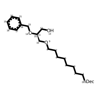 CCCCCCCCCCCCCCCCCCOC[C@H](CO)OCc1ccccc1